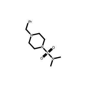 CC(C)CN1CCN(S(=O)(=O)N(C)C)CC1